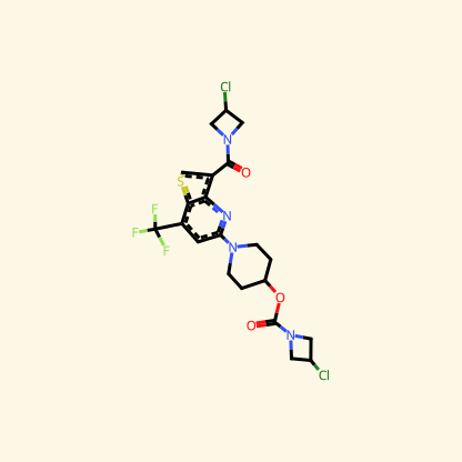 O=C(OC1CCN(c2cc(C(F)(F)F)c3scc(C(=O)N4CC(Cl)C4)c3n2)CC1)N1CC(Cl)C1